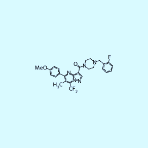 COc1ccc(-c2nc3c(C(=O)N4CCN(Cc5ccccc5F)CC4)cnn3c(C(F)(F)F)c2C)cc1